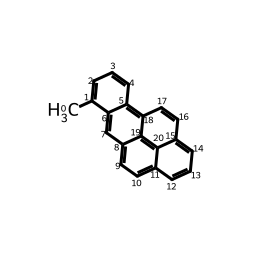 Cc1cccc2c1cc1ccc3cccc4ccc2c1c34